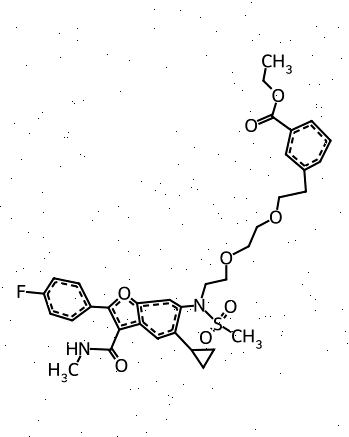 CCOC(=O)c1cccc(CCOCCOCCN(c2cc3oc(-c4ccc(F)cc4)c(C(=O)NC)c3cc2C2CC2)S(C)(=O)=O)c1